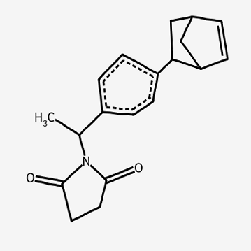 CC(c1ccc(C2CC3C=CC2C3)cc1)N1C(=O)CCC1=O